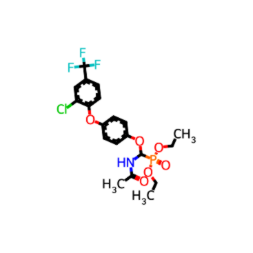 CCOP(=O)(OCC)C(NC(C)=O)Oc1ccc(Oc2ccc(C(F)(F)F)cc2Cl)cc1